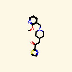 COc1ncccc1CN1CCC(CC(=O)c2nccs2)CC1